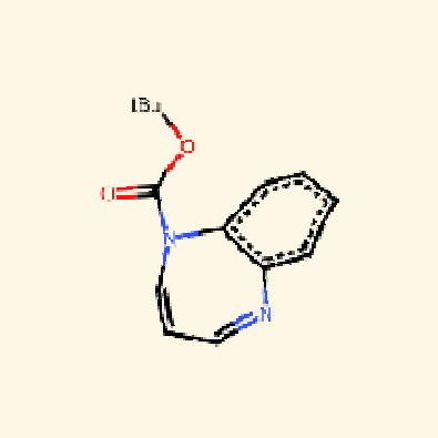 CC(C)(C)OC(=O)N1C=CC=Nc2ccccc21